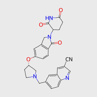 N#Cc1cnc2ccc(CN3CC[C@H](Oc4ccc5c(c4)CN(C4CCC(=O)NC4=O)C5=O)C3)cc2c1